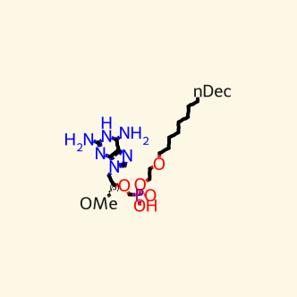 CCCCCCCCCCCCCCCCCCOCCOP(=O)(O)CO[C@H](COC)Cn1cnc2c1N=C(N)NC2N